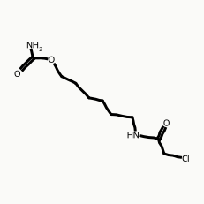 NC(=O)OCCCCCCNC(=O)CCl